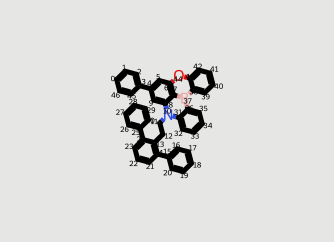 c1ccc(-c2cc3c4c(c2)N(CCc2c(-c5ccccc5)cccc2-c2ccccc2)c2ccccc2B4c2ccccc2O3)cc1